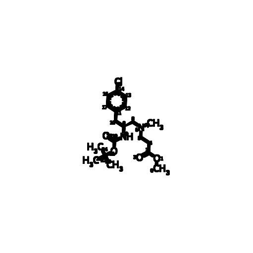 COC(=O)CCN(C)C[C@H](Cc1ccc(Cl)cc1)NC(=O)OC(C)(C)C